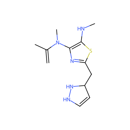 C=C(C)N(C)c1nc(CC2C=CNN2)sc1NC